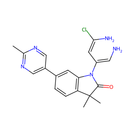 Cc1ncc(-c2ccc3c(c2)N(C(/C=C(\N)Cl)=C/N)C(=O)C3(C)C)cn1